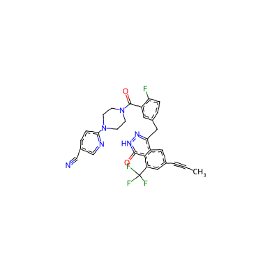 CC#Cc1cc(C(F)(F)F)c2c(=O)[nH]nc(Cc3ccc(F)c(C(=O)N4CCN(c5ccc(C#N)cn5)CC4)c3)c2c1